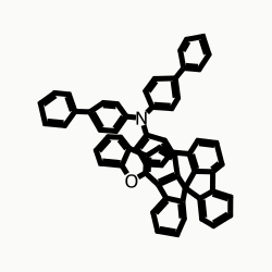 c1ccc(-c2ccc(N(c3ccc(-c4ccccc4)cc3)c3cccc(-c4cccc5c4C4(c6ccccc6-5)c5ccccc5-c5c4ccc4c5oc5ccccc54)c3)cc2)cc1